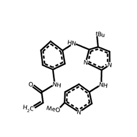 C=CC(=O)Nc1cccc(Nc2nc(Nc3ccc(OC)nc3)ncc2C(C)(C)C)c1